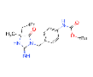 CC(C)CC1(C)NC(=N)N(Cc2ccc(NC(=O)OC(C)(C)C)cc2)C1=O